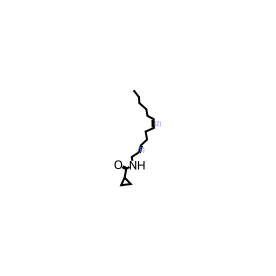 CCCCC/C=C\CC/C=C/CNC(=O)C1CC1